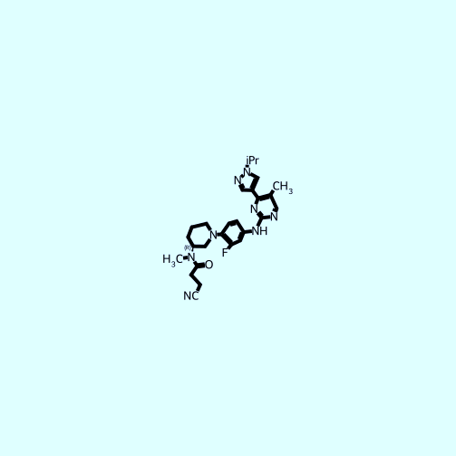 Cc1cnc(Nc2ccc(N3CCC[C@@H](N(C)C(=O)CCC#N)C3)c(F)c2)nc1-c1cnn(C(C)C)c1